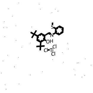 CSc1ccccc1N=Cc1cc(C(C)(C)C)cc(C(C)(C)C)c1O.[Cl][Ti]([Cl])[Cl]